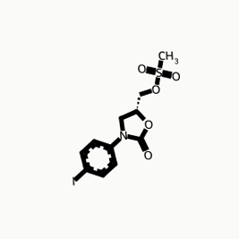 CS(=O)(=O)OC[C@H]1CN(c2ccc(I)cc2)C(=O)O1